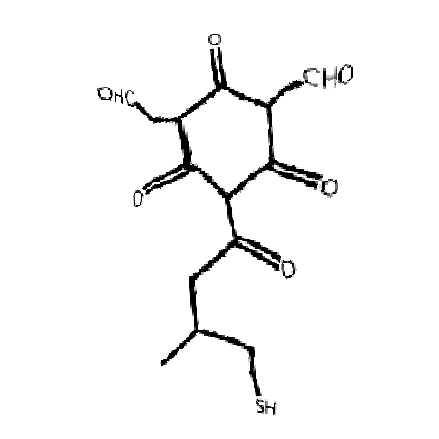 CC(CS)CC(=O)C1C(=O)C(C=O)C(=O)C(C=O)C1=O